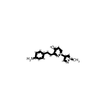 Cn1cc(-n2ccc(=O)c(CCc3ccc(N)cc3)n2)cn1